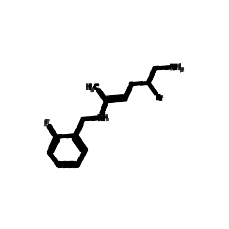 C/C(=C\CC(Br)CN)NCc1ccccc1F